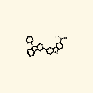 OB(O)c1ccc2sc3ccc(-c4ccc5c(c4)c4ccccc4n5-c4ccccc4)cc3c2c1